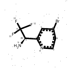 N[C@H](c1cc(Br)ccn1)C(F)(F)F